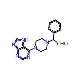 O=CC(c1ccccc1)N1CCN(c2ncnc3nc[nH]c23)CC1